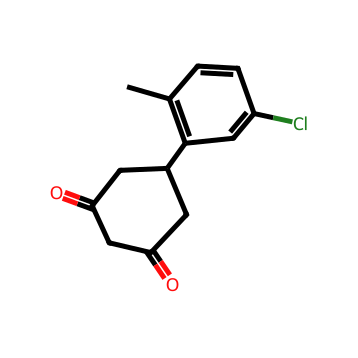 Cc1ccc(Cl)cc1C1CC(=O)CC(=O)C1